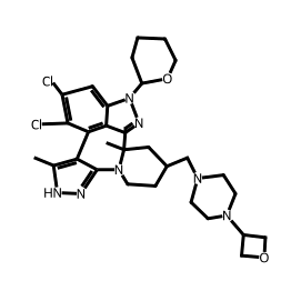 Cc1[nH]nc(N2CCC(CN3CCN(C4COC4)CC3)CC2(C)C)c1-c1c(Cl)c(Cl)cc2c1cnn2C1CCCCO1